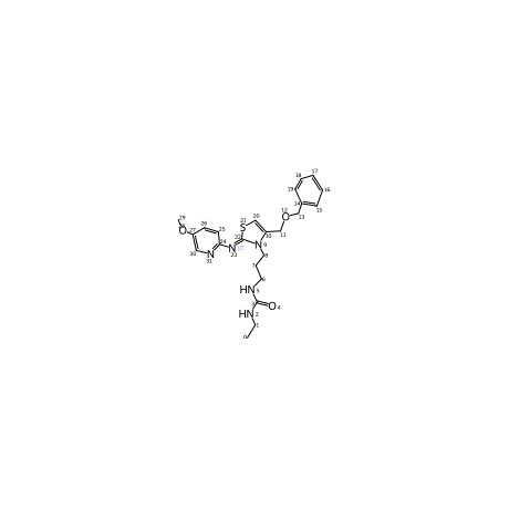 CCNC(=O)NCCCn1c(COCc2ccccc2)cs/c1=N\c1ccc(OC)cn1